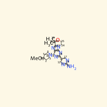 CO[C@H]1CC2CC1CN2c1nc(-c2cnc(N)nc2)nc2c1nc1n2CCOC1(C)C